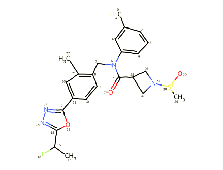 Cc1cccc(N(Cc2ccc(-c3nnc(C(C)F)o3)cc2C)C(=O)C2CN([S+](C)[O-])C2)c1